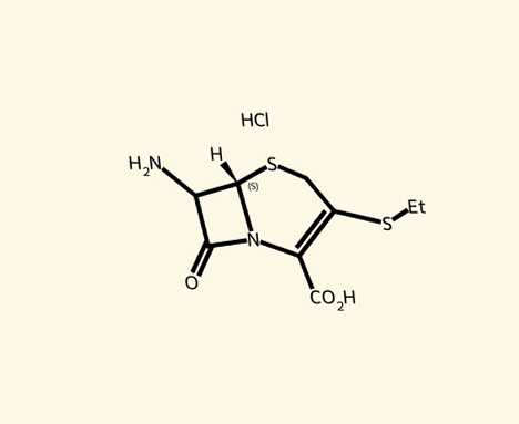 CCSC1=C(C(=O)O)N2C(=O)C(N)[C@@H]2SC1.Cl